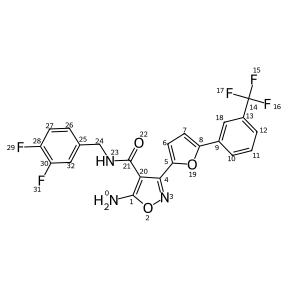 Nc1onc(-c2ccc(-c3cccc(C(F)(F)F)c3)o2)c1C(=O)NCc1ccc(F)c(F)c1